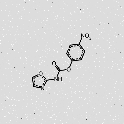 O=C(Nc1ncco1)Oc1ccc([N+](=O)[O-])cc1